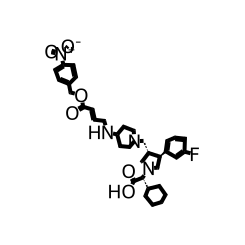 O=C(C=CCNC1CCN(C[C@H]2CN([C@@H](C(=O)O)C3CCCCC3)C[C@@H]2c2cccc(F)c2)CC1)OCc1ccc([N+](=O)[O-])cc1